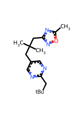 Cc1nc(CC(C)(C)Cc2cnc(CC(C)(C)C)nc2)no1